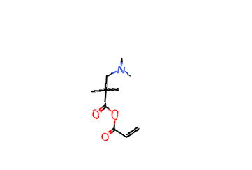 C=CC(=O)OC(=O)C(C)(C)CN(C)C